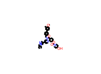 CCC(C)(CC)n1cc(-c2ccnc(N(CC34CCC(c5ccc(OC)c(C)c5)(CC3)CC4)C(=O)C3CCC(OC(=O)N4CCC(O)CC4)CC3)c2)cn1